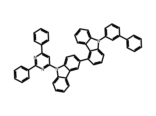 c1ccc(-c2cccc(-n3c4ccccc4c4c(-c5ccc6c(c5)c5ccccc5n6-c5cc(-c6ccccc6)nc(-c6ccccc6)n5)cccc43)c2)cc1